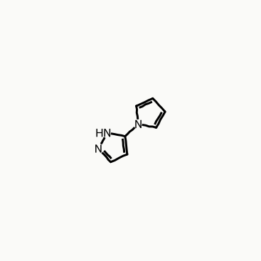 c1ccn(-c2ccn[nH]2)c1